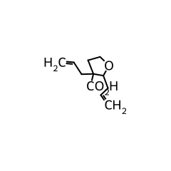 C=CCC1OCCC1(CC=C)C(=O)O